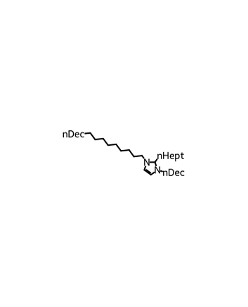 CCCCCCCCCCCCCCCCCCCN1C=CN(CCCCCCCCCC)C1CCCCCCC